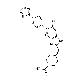 O=C(O)[C@H]1CC[C@@H](Oc2nc3nc(-c4ccc(-n5nccn5)cc4)c(Cl)cc3[nH]2)CC1